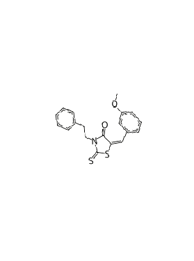 COc1cccc(C=C2SC(=S)N(CCc3ccccc3)C2=O)c1